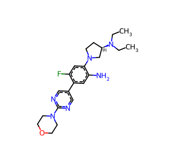 CCN(CC)[C@@H]1CCN(c2cc(F)c(-c3cnc(N4CCOCC4)nc3)cc2N)C1